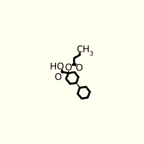 CCCC(=O)O[C@]1(C(=O)O)CC[C@@H](C2CCCCC2)CC1